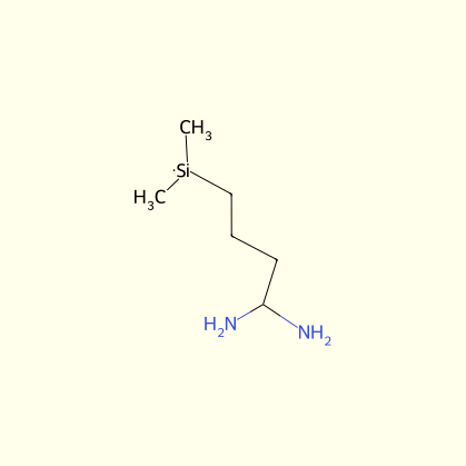 C[Si](C)CCCC(N)N